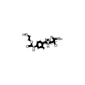 Cc1cc(NC(=O)OCCO)ccc1-c1nn2nc(C(C)(C)C)c(Cl)c2[nH]1